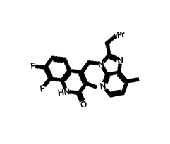 Cc1c(Cn2c(CC(C)C)nc3c(C)ccnc32)c2ccc(F)c(F)c2[nH]c1=O